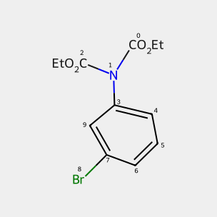 CCOC(=O)N(C(=O)OCC)c1cccc(Br)c1